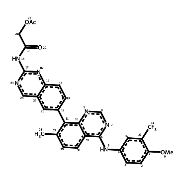 COc1ccc(Nc2ncnc3c(-c4ccc5nc(NC(=O)COC(C)=O)ncc5c4)c(C)ccc23)cc1C(F)(F)F